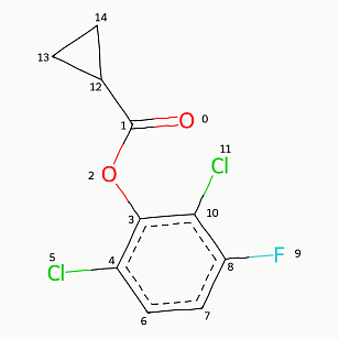 O=C(Oc1c(Cl)ccc(F)c1Cl)C1CC1